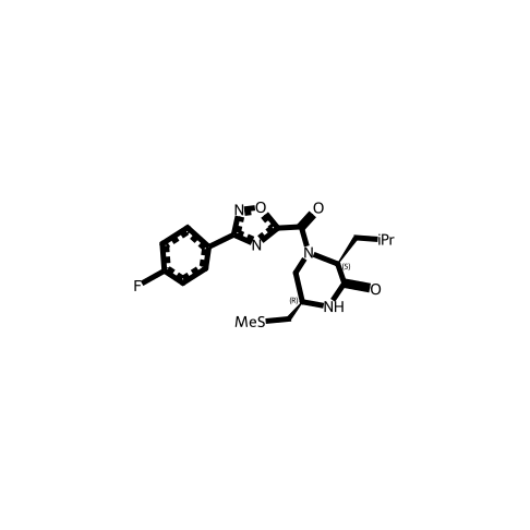 CSC[C@H]1CN(C(=O)c2nc(-c3ccc(F)cc3)no2)[C@@H](CC(C)C)C(=O)N1